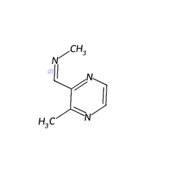 C/N=C\c1nccnc1C